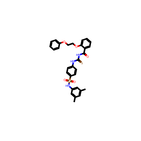 Cc1cc(C)cc(NS(=O)(=O)c2ccc(NC(=S)NC(=O)c3ccccc3OCCOc3ccccc3)cc2)c1